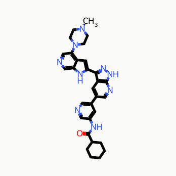 CN1CCN(c2cncc3[nH]c(-c4n[nH]c5ncc(-c6cncc(NC(=O)C7CCCCC7)c6)cc45)cc23)CC1